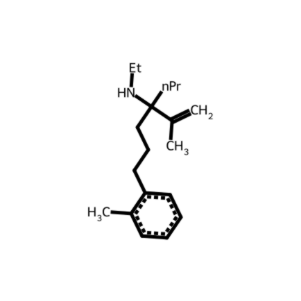 C=C(C)C(CCC)(CCCc1ccccc1C)NCC